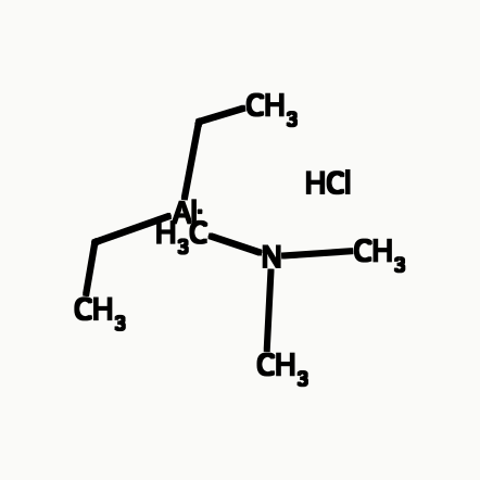 CN(C)C.C[CH2][Al][CH2]C.Cl